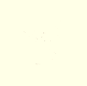 CC[C@H](C)[C@@H](CN(CC(=O)N[C@@H](CCSC)C(=O)O)Cc1cccc2ccccc12)NC(=O)[C@@H]1CCCN1C=O